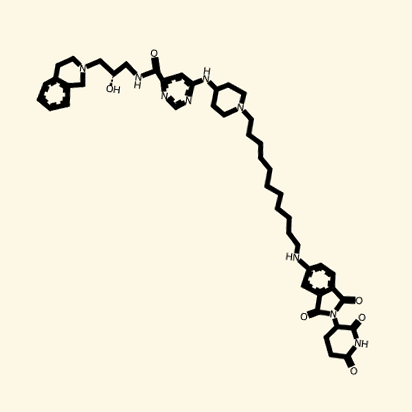 O=C1CCC(N2C(=O)c3ccc(NCCCCCCCCCCCN4CCC(Nc5cc(C(=O)NC[C@H](O)CN6CCc7ccccc7C6)ncn5)CC4)cc3C2=O)C(=O)N1